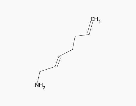 C=CCCC=CCN